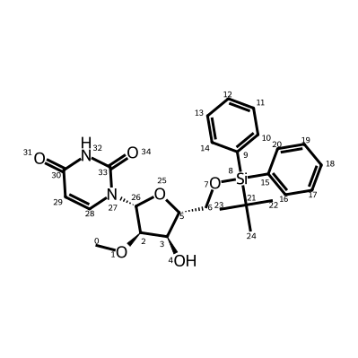 CO[C@@H]1[C@H](O)[C@@H](CO[Si](c2ccccc2)(c2ccccc2)C(C)(C)C)O[C@H]1n1ccc(=O)[nH]c1=O